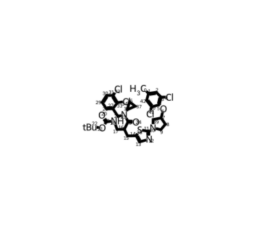 Cc1cc(Cl)c(OC2CCN(c3ncc(CC(CNC(=O)OC(C)(C)C)C(=O)N(Cc4cccc(Cl)c4Cl)C4CC4)s3)C2)c(Cl)c1